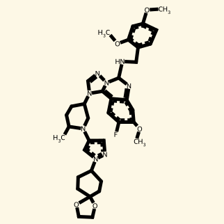 COc1ccc(CNC2N=c3cc(OC)c(F)cc3=C3N(C4CCC(C)N(c5cnn(C6CCC7(CC6)OCCO7)c5)C4)C=NN32)c(OC)c1